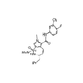 CN[SH]1(=O)N[C@@H](CC(C)C)C=Cc2c1cn(C)c2C(=O)Nc1ccc(F)c(C#N)c1